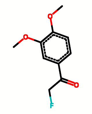 COc1ccc(C(=O)CF)cc1OC